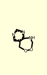 c1ncc2c(n1)NCOOC2